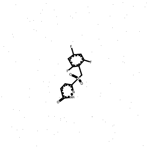 O=c1ccc(S(=O)(=O)Cc2c(F)cc(F)cc2F)n[nH]1